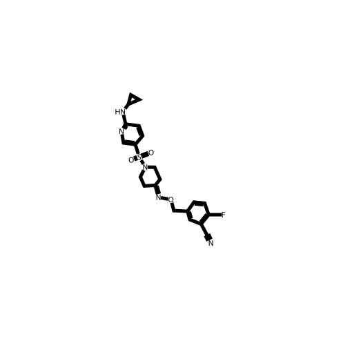 N#Cc1cc(CON=C2CCN(S(=O)(=O)c3ccc(NC4CC4)nc3)CC2)ccc1F